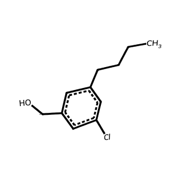 CCCCc1cc(Cl)cc([CH]O)c1